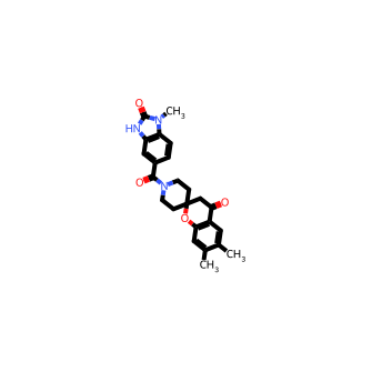 Cc1cc2c(cc1C)C(=O)CC1(CCN(C(=O)c3ccc4c(c3)[nH]c(=O)n4C)CC1)O2